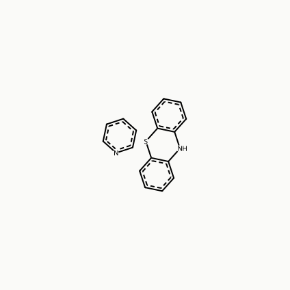 c1ccc2c(c1)Nc1ccccc1S2.c1ccncc1